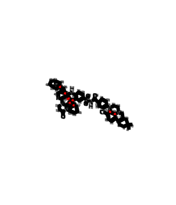 CC1(C)CCC(c2ccc(Cl)cc2)=C(CN2CCN(c3ccc(C(=O)NS(=O)(=O)c4ccc(N[C@H](CCN5CC6CCC(C5)N6Cc5cnc(N6CCC(=O)NC6=O)cn5)CSc5ccccc5)c(S(=O)(=O)C(F)(F)F)c4)cc3)CC2)C1